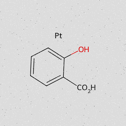 O=C(O)c1ccccc1O.[Pt]